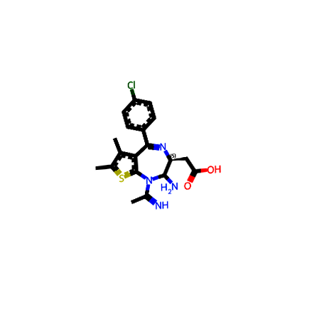 CC(=N)N1c2sc(C)c(C)c2C(c2ccc(Cl)cc2)=N[C@@H](CC(=O)O)C1N